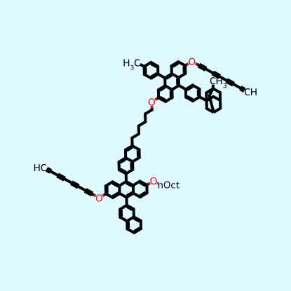 C#CC#CC#CC#COc1ccc2c(-c3ccc4cc(CCCCCCOc5ccc6c(-c7ccc(C89CC%10CC(CC(C)(C%10)C8)C9)cc7)c7cc(OC#CC#CC#CC#C)ccc7c(-c7ccc(C)cc7)c6c5)ccc4c3)c3cc(OCCCCCCCC)ccc3c(-c3ccc4ccccc4c3)c2c1